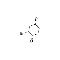 O=C1CCC(=O)C(Br)C1